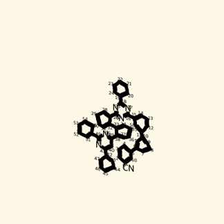 N#Cc1cccc(-c2cccc(-c3cccc(-c4nc(-c5ccccc5)nc(-c5ccccc5-c5ccccc5-c5cc(-c6ccccc6)nc(-c6ccccc6)n5)n4)c3)c2)c1